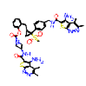 Cc1nnc2sc(C(=O)NCc3ccc(C4(S(C)(=O)=O)CC4Cc4ccccc4OC(=O)N4CC(NC(=O)c5sc6nnc(C)c(C)c6c5N)C4)cc3)c(N)c2c1C